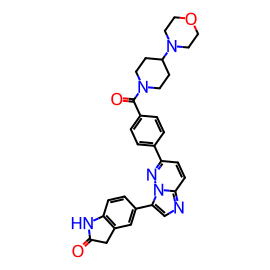 O=C1Cc2cc(-c3cnc4ccc(-c5ccc(C(=O)N6CCC(N7CCOCC7)CC6)cc5)nn34)ccc2N1